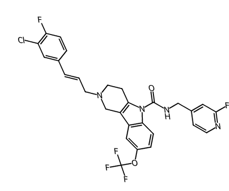 O=C(NCc1ccnc(F)c1)n1c2c(c3cc(OC(F)(F)F)ccc31)CN(CC=Cc1ccc(F)c(Cl)c1)CC2